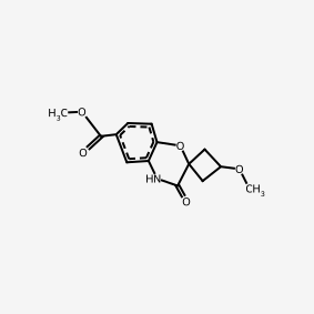 COC(=O)c1ccc2c(c1)NC(=O)C1(CC(OC)C1)O2